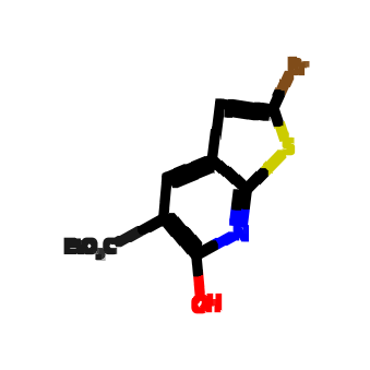 CCOC(=O)c1cc2cc(Br)sc2nc1O